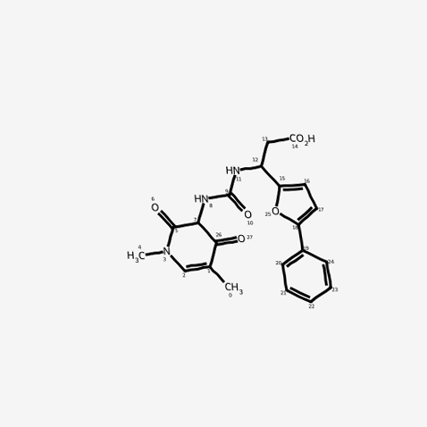 CC1=CN(C)C(=O)C(NC(=O)NC(CC(=O)O)c2ccc(-c3ccccc3)o2)C1=O